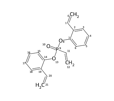 C=Cc1ccccc1OP(=O)(C=C)Oc1ccccc1C=C